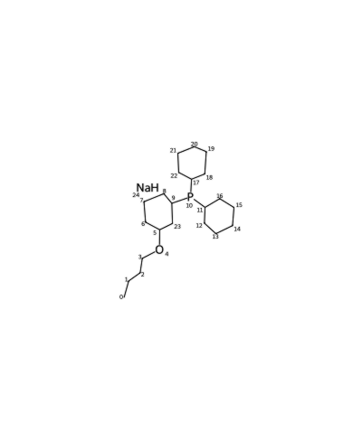 CCCCOC1CCCC(P(C2CCCCC2)C2CCCCC2)C1.[NaH]